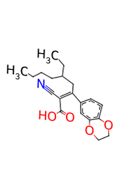 CCCCC(CC)CC(=C(C#N)C(=O)O)c1ccc2c(c1)OCCO2